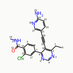 CCc1ncnc(-c2ccc(C(=O)NC)c(Cl)c2)c1C#Cc1ccc(N)nc1